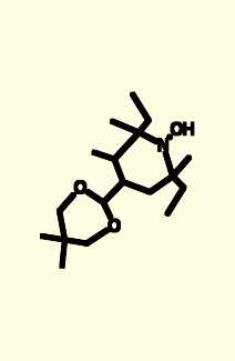 CCC1(C)CC(C2OCC(C)(C)CO2)C(C)C(C)(CC)N1O